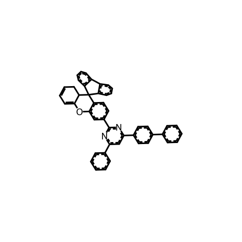 C1=CCC2C(=C1)Oc1cc(-c3nc(-c4ccccc4)cc(-c4ccc(-c5ccccc5)cc4)n3)ccc1C21c2ccccc2-c2ccccc21